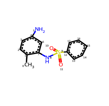 Cc1ccc(N)cc1NS(=O)(=O)c1ccccc1